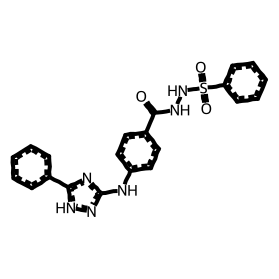 O=C(NNS(=O)(=O)c1ccccc1)c1ccc(Nc2n[nH]c(-c3ccccc3)n2)cc1